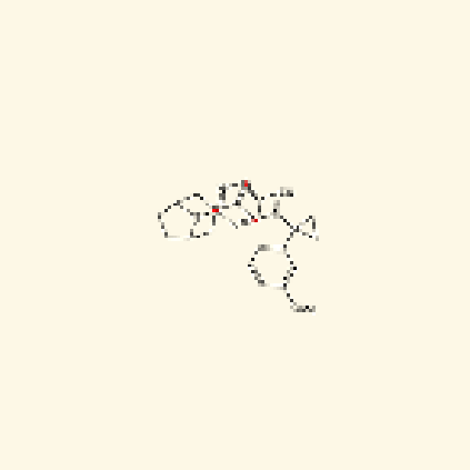 COc1cccc(C2(NCC(=O)N3CC4CCC(C3)N4c3ccc(C#N)cn3)CC2)c1